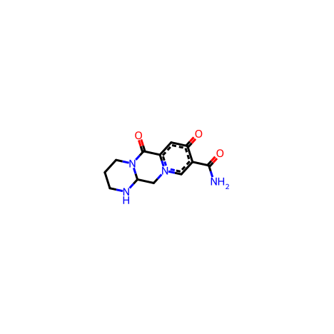 NC(=O)c1cn2c(cc1=O)C(=O)N1CCCNC1C2